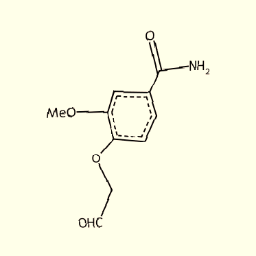 COc1cc(C(N)=O)ccc1OCC=O